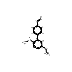 COc1ccc(OC)c(-c2ccc(C=O)cc2)c1